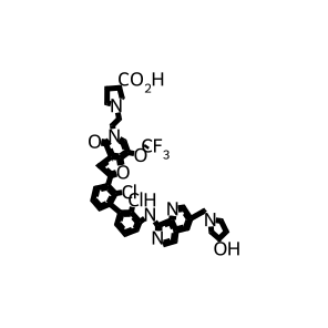 O=C(O)[C@@H]1CCN(CCn2cc(OC(F)(F)F)c3oc(-c4cccc(-c5cccc(Nc6nccc7cc(CN8CC[C@@H](O)C8)cnc67)c5Cl)c4Cl)cc3c2=O)C1